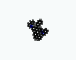 c1ccc2c(c1)CCCN2c1ccc2c(-c3ccc4ccc5cccc6ccc3c4c56)c3cc(N4CCCc5ccccc54)ccc3c(-c3ccc4ccccc4c3)c2c1